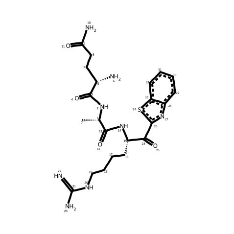 C[C@H](NC(=O)[C@@H](N)CCC(N)=O)C(=O)N[C@@H](CCCCNC(=N)N)C(=O)c1nc2ccccc2s1